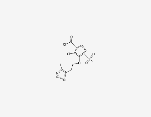 Cc1nnnn1CCOc1c(S(C)(=O)=O)ccc(C(=O)Cl)c1Cl